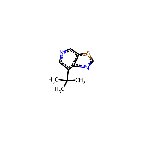 CC(C)(C)c1cncc2scnc12